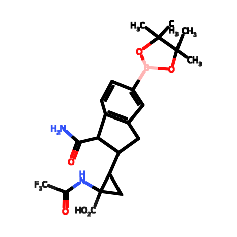 CC1(C)OB(c2ccc3c(c2)CC(C2CC2(NC(=O)C(F)(F)F)C(=O)O)C3C(N)=O)OC1(C)C